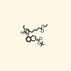 CCOC(=O)CCCCC1=CN(CC)NN1c1cccc2c1CCN(C(=O)OC(C)(C)C)C2